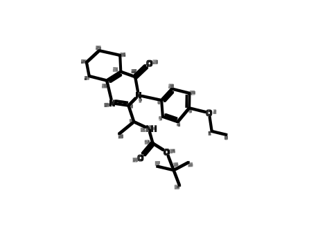 CCOc1ccc(-n2c(C(C)NC(=O)OC(C)(C)C)nc3c(c2=O)CCCC3)cc1